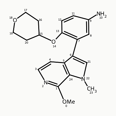 COc1nccc2c(-c3cc(N)ccc3OC3CCOCC3)cn(C)c12